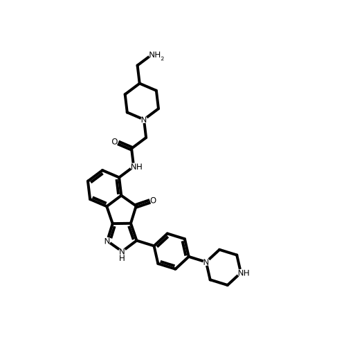 NCC1CCN(CC(=O)Nc2cccc3c2C(=O)c2c-3n[nH]c2-c2ccc(N3CCNCC3)cc2)CC1